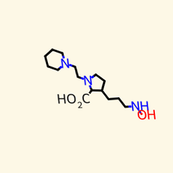 O=C(O)C1C(CCCNO)CCN1CCN1CCCCC1